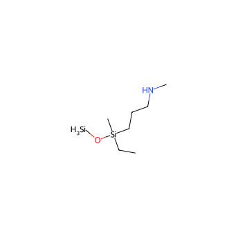 CC[Si](C)(CCCNC)O[SiH3]